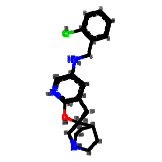 Clc1ccccc1CNc1cnc2c(c1)C[C@@]1(CN3CCC1CC3)O2